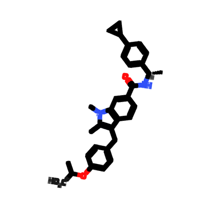 Cc1c(Cc2ccc(OC(C)C(=O)O)cc2)c2ccc(C(=O)N[C@@H](C)c3ccc(C4CC4)cc3)cc2n1C